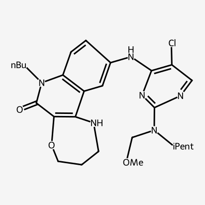 CCCCn1c(=O)c2c(c3cc(Nc4nc(N(COC)C(C)CCC)ncc4Cl)ccc31)NCCCO2